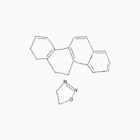 C1=CC2=C(CC1)CCc1c2ccc2ccccc12.C1CON=N1